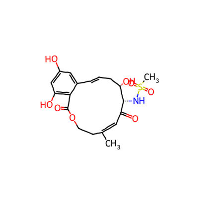 C/C1=C/C(=O)[C@@H](NS(C)(=O)=O)[C@@H](O)C/C=C/c2cc(O)cc(O)c2C(=O)OCC1